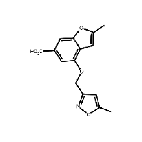 Cc1cc(COc2cc(C(=O)O)cc3oc(C)cc23)no1